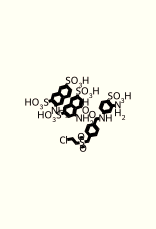 Nc1cc(NC(=O)c2ccc(CS(=O)(=O)CCCl)cc2)ccc1S(=O)(=O)O.Nc1cc(S(=O)(=O)O)cc2cc(S(=O)(=O)O)cc(O)c12.Nc1cc2ccc(S(=O)(=O)O)cc2cc1S(=O)(=O)O